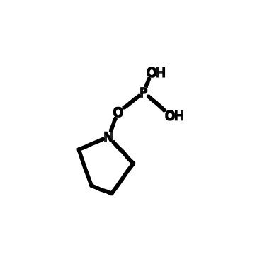 OP(O)ON1CCCC1